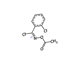 CC(=O)O/N=C(/Cl)c1ccccc1Cl